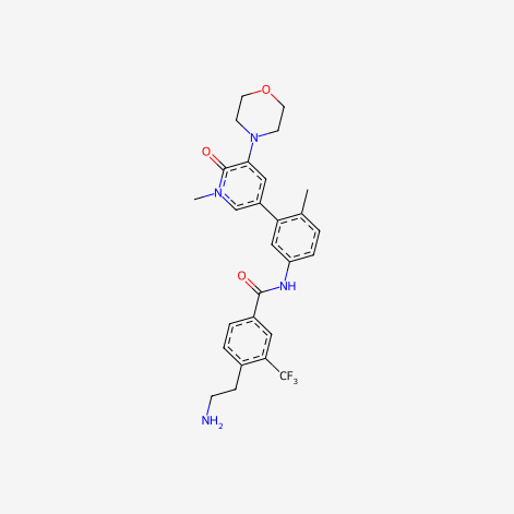 Cc1ccc(NC(=O)c2ccc(CCN)c(C(F)(F)F)c2)cc1-c1cc(N2CCOCC2)c(=O)n(C)c1